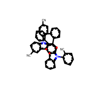 N#Cc1ccc(-n2c3ccc(C#N)cc3c3cccc(-c4ccccc4-c4ccccc4-c4ccc5c(c4)c4ccccc4n5-c4ccccc4C#N)c32)cc1